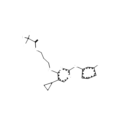 O=C(NCCCNc1nc(Nc2cccc(F)c2)ncc1C1CC1)C(F)(F)F